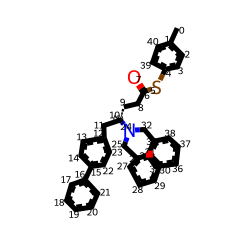 Cc1ccc(SC(=O)CC[C@@H](Cc2ccc(-c3ccccc3)cc2)N(Cc2ccccc2)Cc2ccccc2)cc1